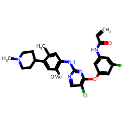 C=CC(=O)Nc1cc(F)cc(Oc2nc(Nc3cc(C)c(C4CCN(C)CC4)cc3OC)ncc2Cl)c1